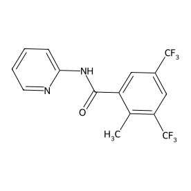 Cc1c(C(=O)Nc2ccccn2)cc(C(F)(F)F)cc1C(F)(F)F